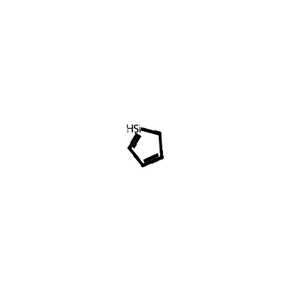 C1=CC[SiH]=C1